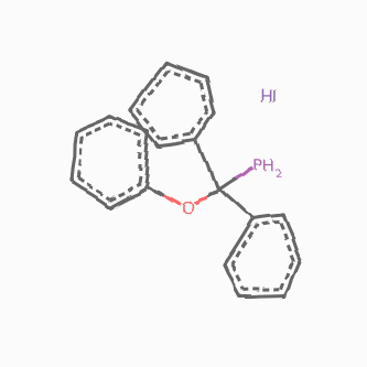 I.PC(Oc1ccccc1)(c1ccccc1)c1ccccc1